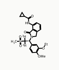 [2H]C([2H])([C@H](c1ccc(OC)c(OCC)c1)N1Cc2cccc(NC(=O)C3CC3)c2C1=O)S(C)(=O)=O